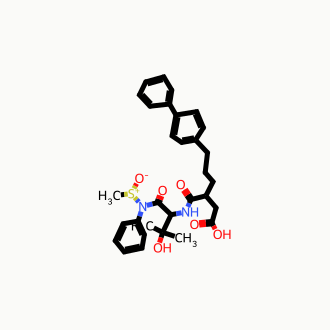 C[S+]([O-])N(C(=O)C(NC(=O)C(CCCc1ccc(-c2ccccc2)cc1)CC(=O)O)C(C)(C)O)c1ccccc1